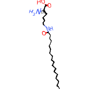 CCCCCCCCCCCCCCCCCC(=O)NCCCC[C@H](N)C(=O)O